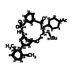 CC(=O)C1CCC(N2C(=O)c3cccc(c3)S(=O)(=O)Nc3nc(cc(-c4c(C)cccc4C)n3)OC[C@H]2CC(C)(C)C)CC1